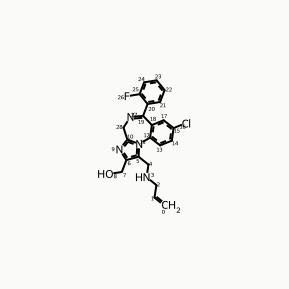 C=CCNCc1c(CO)nc2n1-c1ccc(Cl)cc1C(c1ccccc1F)=NC2